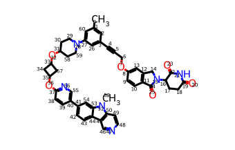 Cc1cc(C#CCOc2ccc3c(c2)CN(C2CCC(=O)NC2=O)C3=O)cc(N2CCC(OC3CC(Oc4ccc(-c5ccc6c7cnccc7n(C)c6c5)cn4)C3)CC2)c1